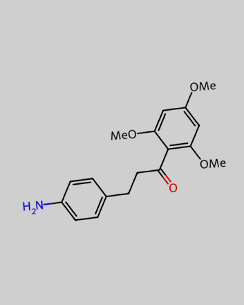 COc1cc(OC)c(C(=O)CCc2ccc(N)cc2)c(OC)c1